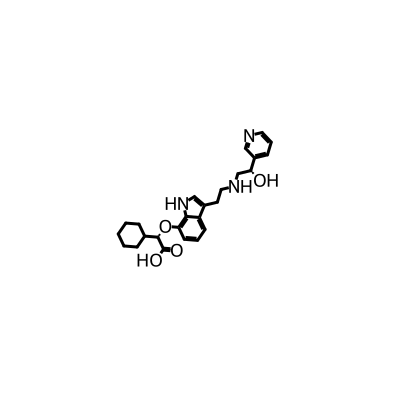 O=C(O)[C@@H](Oc1cccc2c(CCNC[C@@H](O)c3cccnc3)c[nH]c12)C1CCCCC1